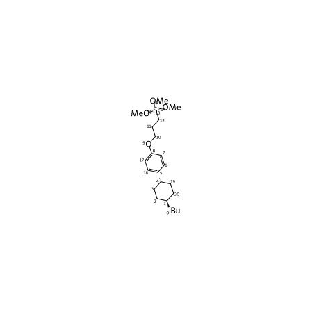 CCC(C)[C@H]1CC[C@H](c2ccc(OCCC[Si](OC)(OC)OC)cc2)CC1